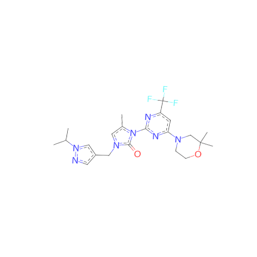 Cc1cn(Cc2cnn(C(C)C)c2)c(=O)n1-c1nc(N2CCOC(C)(C)C2)cc(C(F)(F)F)n1